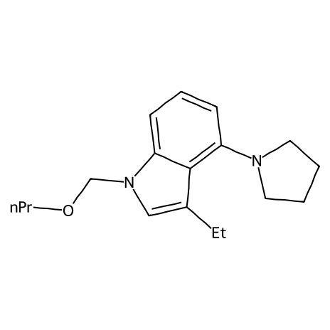 CCCOCn1cc(CC)c2c(N3CCCC3)cccc21